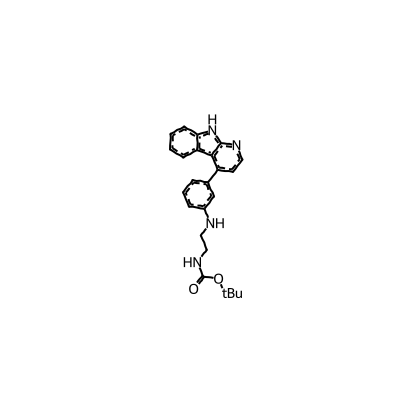 CC(C)(C)OC(=O)NCCNc1cccc(-c2ccnc3[nH]c4ccccc4c23)c1